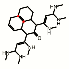 CNC(=CC(NC)NC)C(C(=O)C(C(=CC(NC)NC)NC)C1C=CCCC1)C1C=CCCC1